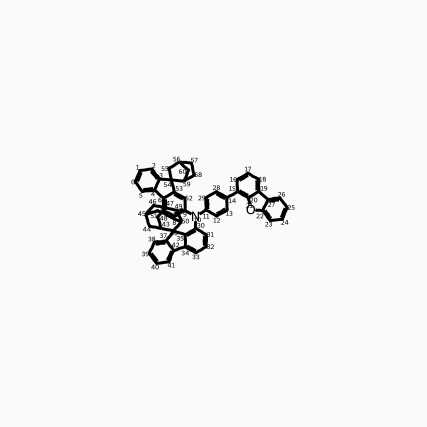 c1ccc2c(c1)-c1ccc(N(c3ccc(-c4cccc5c4oc4ccccc45)cc3)c3cccc4c3C3(c5ccccc5-4)C4CC5CC(C4)CC3C5)cc1C21CC2CCC1C2